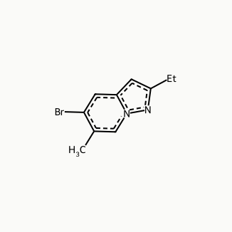 CCc1cc2cc(Br)c(C)cn2n1